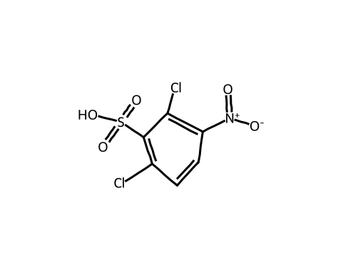 O=[N+]([O-])c1ccc(Cl)c(S(=O)(=O)O)c1Cl